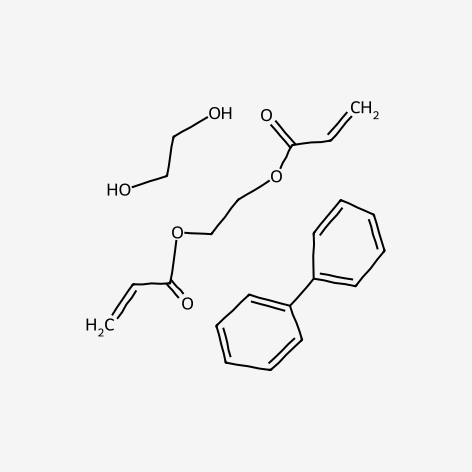 C=CC(=O)OCCOC(=O)C=C.OCCO.c1ccc(-c2ccccc2)cc1